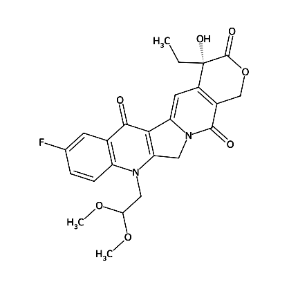 CC[C@@]1(O)C(=O)OCc2c1cc1n(c2=O)Cc2c-1c(=O)c1cc(F)ccc1n2CC(OC)OC